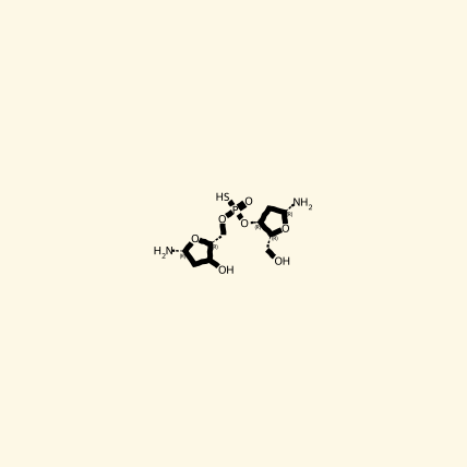 N[C@H]1CC(O)[C@@H](COP(=O)(S)O[C@@H]2C[C@H](N)O[C@@H]2CO)O1